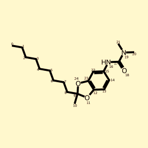 CCCCCCCCCC1(C)Oc2ccc(NC(=O)N(C)C)cc2O1